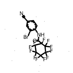 N#Cc1ccc(NC(=O)C2(F)C(F)(F)C(F)(F)C(F)(F)C(F)(F)C2(F)F)c(Br)c1